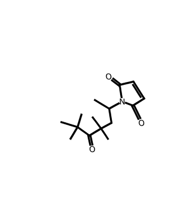 CC(CC(C)(C)C(=O)C(C)(C)C)N1C(=O)C=CC1=O